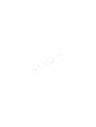 O=C(Nc1cn2nc(-c3cccnc3)ccc2n1)c1cccs1